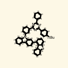 CC(C)(C)c1ccc(-c2nc(-c3ccccc3)nc(-c3cccc(-n4c5ccccc5c5ccc(-c6cccc7sc8ccccc8c67)cc54)c3)n2)cc1